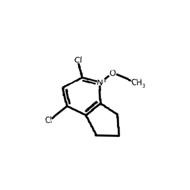 CO[n+]1c(Cl)cc(Cl)c2c1CCC2